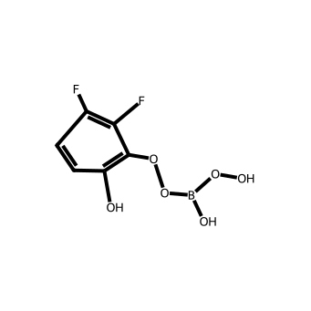 OOB(O)OOc1c(O)ccc(F)c1F